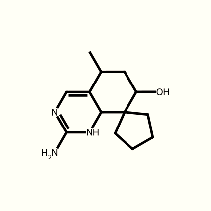 CC1CC(O)C2(CCCC2)C2NC(N)=NC=C12